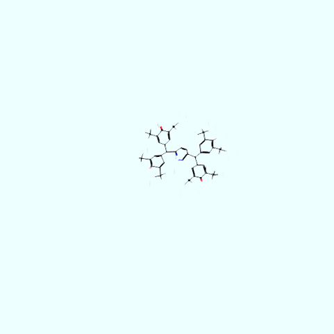 CC(C)(C)C1=CC(C(c2ccc(C(c3cc(C(C)(C)C)c(O)c(C(C)(C)C)c3)C3C=C(C(C)(C)C)C(=O)C(C(C)(C)C)=C3)nc2)c2cc(C(C)(C)C)c(O)c(C(C)(C)C)c2)C=C(C(C)(C)C)C1=O